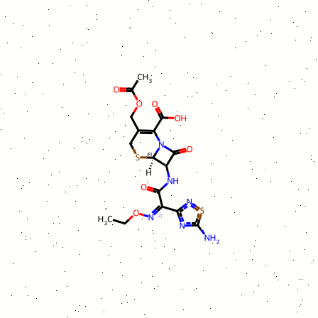 CCO/N=C(\C(=O)NC1C(=O)N2C(C(=O)O)=C(COC(C)=O)CS[C@H]12)c1nsc(N)n1